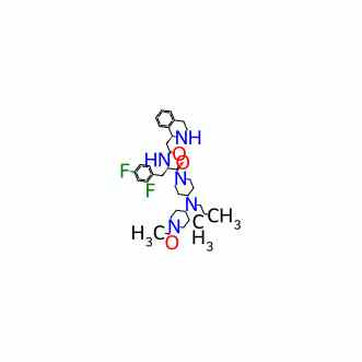 CC(=O)N1CCC(N(CC(C)C)C2CCN(C(=O)[C@@H](Cc3ccc(F)cc3F)NC(=O)C[C@@H]3NCCc4ccccc43)CC2)CC1